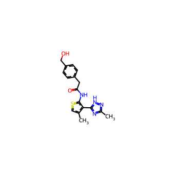 Cc1n[nH]c(-c2c(C)csc2NC(=O)Cc2ccc(CO)cc2)n1